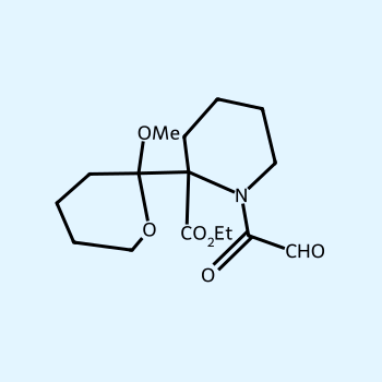 CCOC(=O)C1(C2(OC)CCCCO2)CCCCN1C(=O)C=O